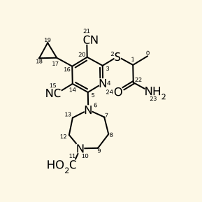 CC(Sc1nc(N2CCCN(C(=O)O)CC2)c(C#N)c(C2CC2)c1C#N)C(N)=O